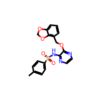 Cc1ccc(S(=O)(=O)Nc2nccnc2OCc2cccc3c2OCO3)cc1